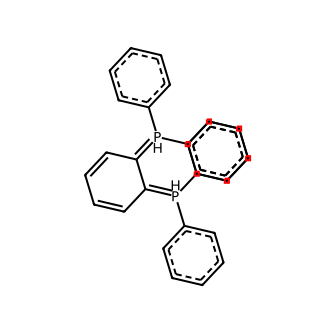 C1=CC(=[PH](c2ccccc2)c2ccccc2)C(=[PH](c2ccccc2)c2ccccc2)C=C1